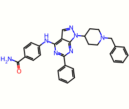 NC(=O)c1ccc(Nc2nc(-c3ccccc3)nc3c2cnn3C2CCN(Cc3ccccc3)CC2)cc1